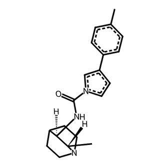 Cc1ccc(-c2ccn(C(=O)N[C@@H]3C4CCN(CC4)[C@H]3C)c2)cc1